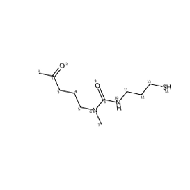 CC(=O)CCCN(C)C(=O)NCCCS